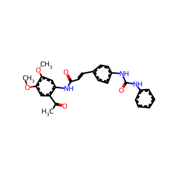 COc1cc(NC(=O)/C=C/c2ccc(NC(=O)Nc3ccccc3)cc2)c(C(C)=O)cc1OC